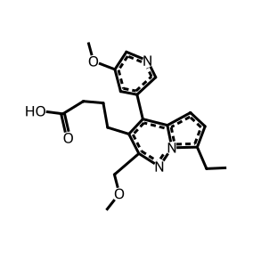 CCc1ccc2c(-c3cncc(OC)c3)c(CCCC(=O)O)c(COC)nn12